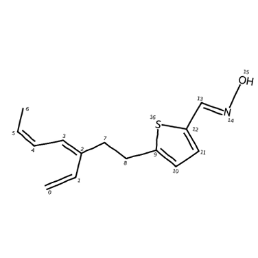 C=C/C(=C\C=C/C)CCc1ccc(/C=N/O)s1